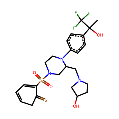 CC(O)(c1ccc(N2CCN(S(=O)(=O)C3=CC=CCC3=S)CC2CN2CCC(O)C2)cc1)C(F)(F)F